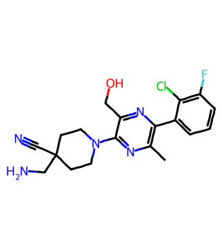 Cc1nc(N2CCC(C#N)(CN)CC2)c(CO)nc1-c1cccc(F)c1Cl